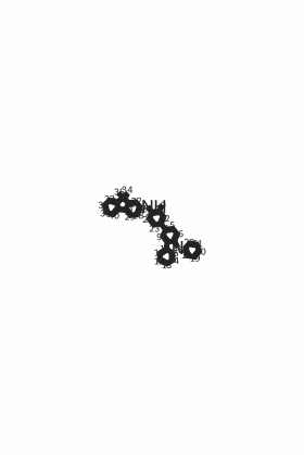 Cc1cc(-c2ccc3c(c2)c2ccccc2n3-c2ccccc2)ccc1Nc1ccc2c(c1)C(C)(C)c1ccccc1-2